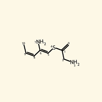 C=C(CN)S/C=C(N)/C=C\C